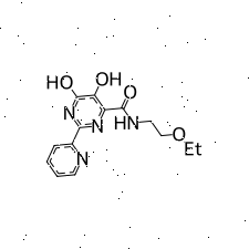 CCOCCNC(=O)c1nc(-c2ccccn2)nc(O)c1O